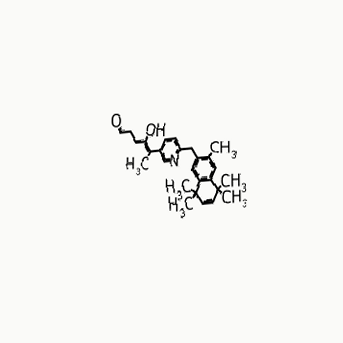 C/C(=C(/O)CCC=O)c1ccc(Cc2cc3c(cc2C)C(C)(C)C=CC3(C)C)nc1